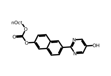 CCCCCCCCOC(=O)Oc1ccc2cc(-c3ncc(O)cn3)ccc2c1